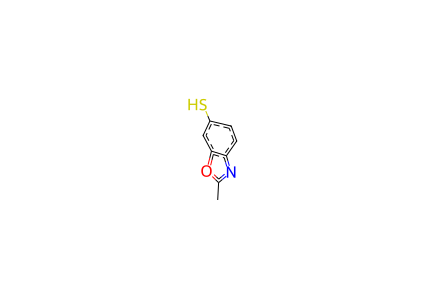 Cc1nc2ccc(S)cc2o1